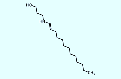 CCCCCCCCCCCC=CNCCCO